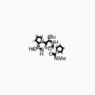 CNC(=O)N1CCC[C@H]1C(=O)N[C@H](C(=S)N1CCC[C@H]1B(O)O)C(C)(C)C